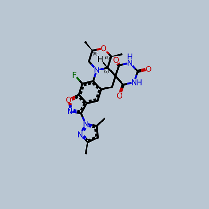 Cc1cc(C)n(-c2noc3c(F)c4c(cc23)CC2(C(=O)NC(=O)NC2=O)[C@H]2[C@H](C)O[C@H](C)CN42)n1